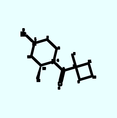 CCN1CCN(C(=O)C2(C)CCC2)[C@H](C)C1